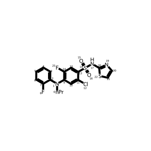 CCCN(c1ccccc1F)c1cc(Cl)c(S(=O)(=O)Nc2nccs2)cc1F